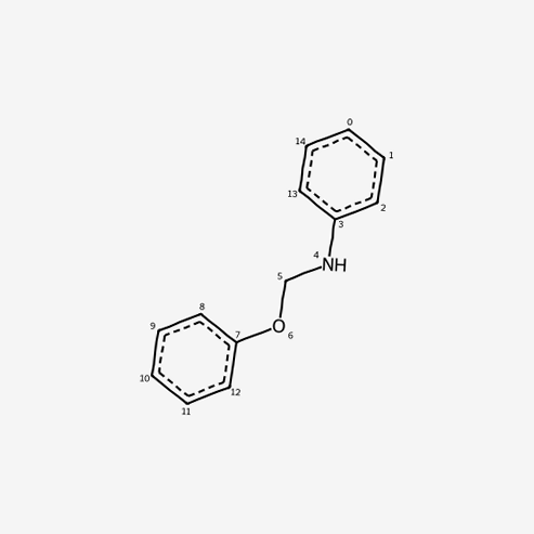 c1ccc(NCOc2ccccc2)cc1